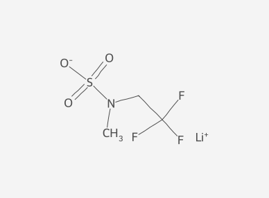 CN(CC(F)(F)F)S(=O)(=O)[O-].[Li+]